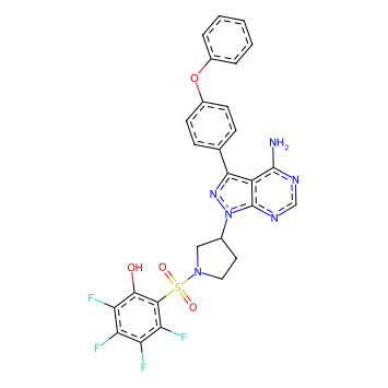 Nc1ncnc2c1c(-c1ccc(Oc3ccccc3)cc1)nn2C1CCN(S(=O)(=O)c2c(O)c(F)c(F)c(F)c2F)C1